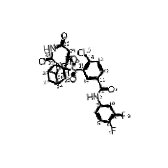 O=C(Nc1ccc(F)c(F)c1)c1ccc(Cl)c(S(=O)(=O)[C@H]2CC3CC(C2)[C@@H]3n2ccc(=O)[nH]c2=O)c1